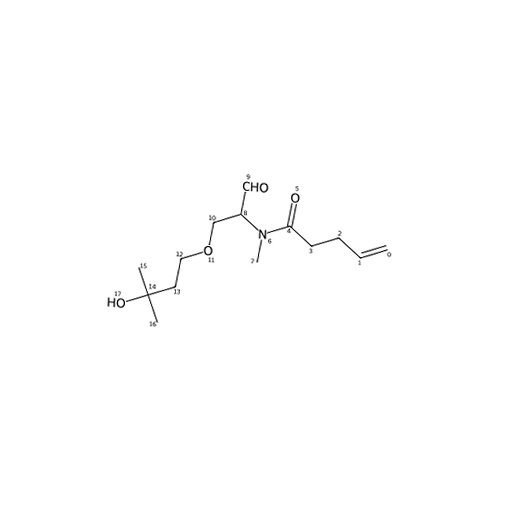 C=CCCC(=O)N(C)C(C=O)COCCC(C)(C)O